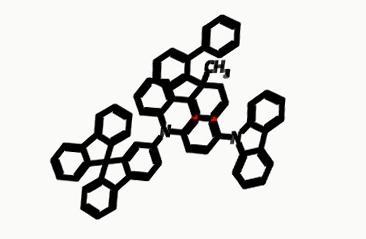 CC1(c2ccccc2-c2ccccc2)CC=CC=C1c1ccccc1N(c1ccc(-n2c3ccccc3c3ccccc32)cc1)c1ccc2c(c1)C1(c3ccccc3-c3ccccc31)c1ccccc1-2